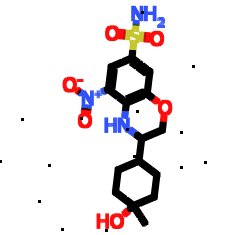 CC1(O)CCC(C2COc3cc(S(N)(=O)=O)cc([N+](=O)[O-])c3N2)CC1